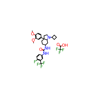 COc1ccc(C23CCC(NC(=O)Nc4ccc(F)c(C(F)(F)F)c4)CC2N(C2CCC2)CC3)cc1OC.O=C(O)C(F)(F)F